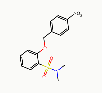 CN(C)S(=O)(=O)c1ccccc1OCc1ccc([N+](=O)[O-])cc1